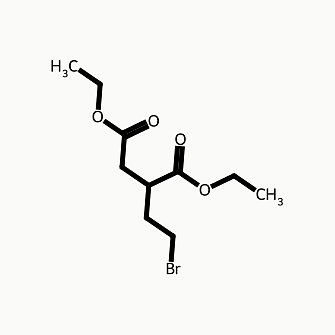 CCOC(=O)CC(CCBr)C(=O)OCC